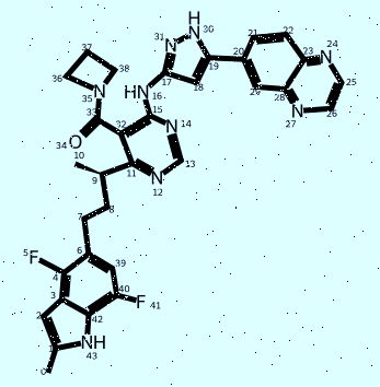 Cc1cc2c(F)c(CC[C@@H](C)c3ncnc(Nc4cc(-c5ccc6nccnc6c5)[nH]n4)c3C(=O)N3CCC3)cc(F)c2[nH]1